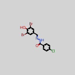 O=C(NN=Cc1cc(Br)c(O)c(Br)c1)c1ccc(Cl)cc1